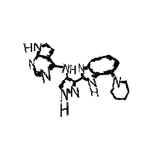 c1cc(N2CCCCC2)c2[nH]c(-c3n[nH]cc3Nc3ncnc4[nH]ccc34)nc2c1